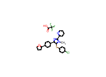 Cn1c(-c2ccccn2)nc(-c2ccc(-c3ccco3)cc2)c1Sc1ccc(Cl)cc1.O=C(O)C(F)(F)F